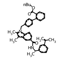 C=C(C)c1cccc([C@H](C)NC(=O)c2ccc3c(c2)c(C)c(C)n3Cc2ccc(-c3ccccc3C(=O)OCCCC)cc2)c1